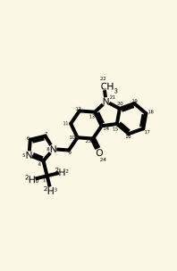 [2H]C([2H])([2H])c1nccn1CC1CCc2c(c3ccccc3n2C)C1=O